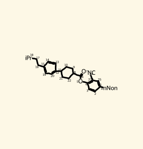 CCCCCCCCCc1ccc(OC(=O)C2CCC(c3ccc(CCC(C)C)cc3)CC2)c(C#N)c1